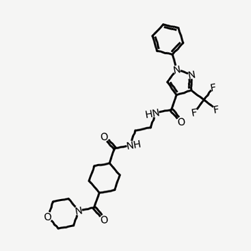 O=C(NCCNC(=O)C1CCC(C(=O)N2CCOCC2)CC1)c1cn(-c2ccccc2)nc1C(F)(F)F